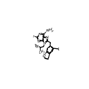 CC(Br)Cn1c(Cc2cc3c(cc2I)CCO3)nc2c(N)nc(F)nc21